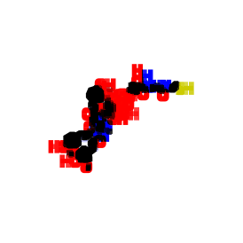 COc1cc(/C=C/C(=O)c2nc3c(N(C(=O)/C=C/c4ccc(O)c(OC)c4)C(=O)/C=C/c4ccc(O)c(OC)c4)ncnc3n2[C@@H]2O[C@H](COP(=O)(O)OP(=O)(O)OCC(C)(C)[C@@H](O)C(=O)NCCC(=O)NCCS)[C@@H](OP(=O)(O)O)[C@H]2O)ccc1O